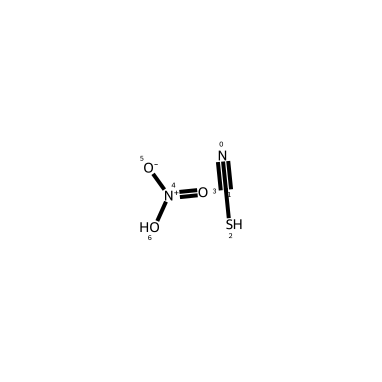 N#CS.O=[N+]([O-])O